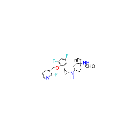 CCCC1(NC=O)CCC(N[C@@H]2CC2c2cc(F)cc(F)c2OCc2cccnc2F)CC1